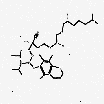 Cc1c(C)c2c(c(C)c1OP(OC[C@@](C)(C#N)CCC[C@H](C)CCC[C@H](C)CCCC(C)C)N(C(C)C)C(C)C)CCCO2